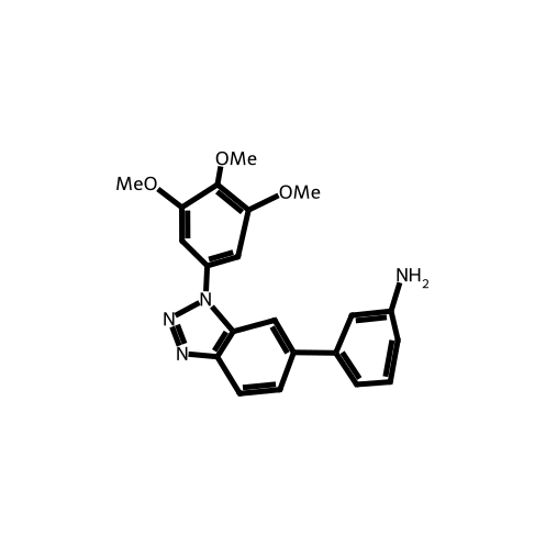 COc1cc(-n2nnc3ccc(-c4cccc(N)c4)cc32)cc(OC)c1OC